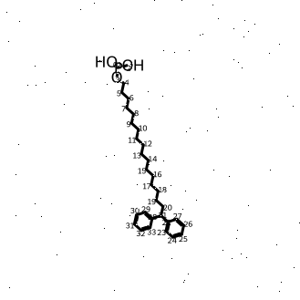 OP(O)OCCCCCCCCCCCCCCCCCC(c1ccccc1)c1ccccc1